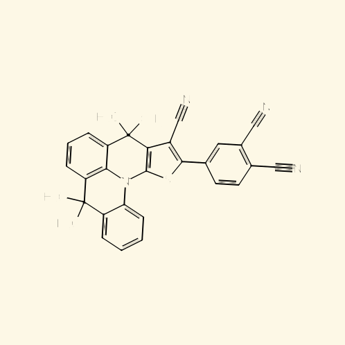 CC1(C)c2ccccc2N2c3sc(-c4ccc(C#N)c(C#N)c4)c(C#N)c3C(C)(C)c3cccc1c32